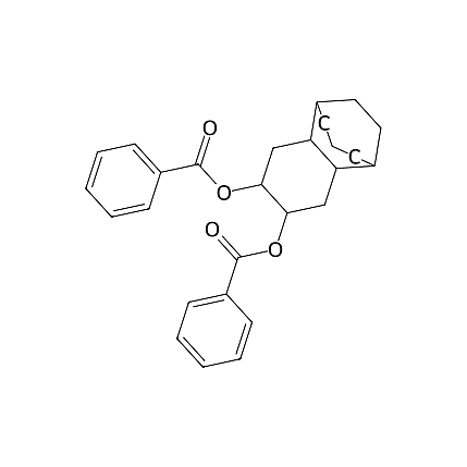 O=C(OC1CC2C3CCCC(CC3)C2CC1OC(=O)c1ccccc1)c1ccccc1